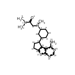 CN(C)C(=O)CN(C)[C@H]1CCCC(C2CCc3sc4ncnc(N)c4c32)C1